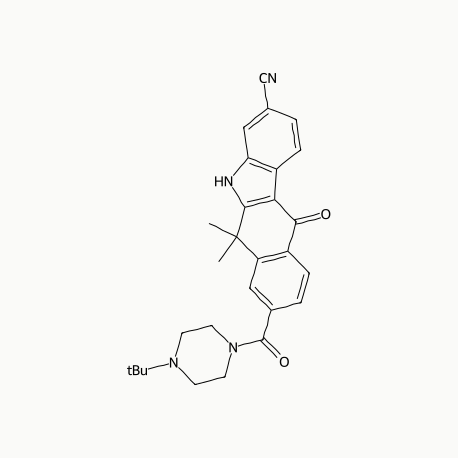 CC1(C)c2cc(C(=O)N3CCN(C(C)(C)C)CC3)ccc2C(=O)c2c1[nH]c1cc(C#N)ccc21